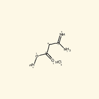 CCCOC(=O)CC(=N)N.Cl